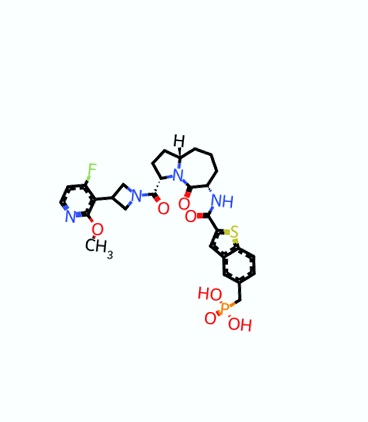 COc1nccc(F)c1C1CN(C(=O)[C@@H]2CC[C@@H]3CCC[C@H](NC(=O)c4cc5cc(CP(=O)(O)O)ccc5s4)C(=O)N32)C1